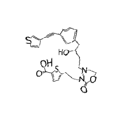 O=C(O)c1ccc(CCN2C(=O)OCCN2CCC(O)Cc2cccc(C#Cc3ccsc3)c2)s1